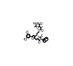 COc1cc(OC)cc(-c2cc(CCCOC(=O)[C@H](C)[C@@H](OC(C)=O)C(N)=O)c(/C=C3\SC(=S)N(C4C5CC6CC(C5)CC4C6)C3=O)o2)c1